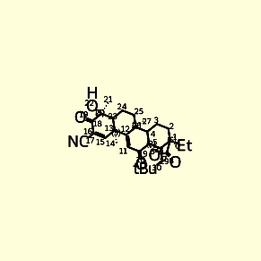 CC[C@@]12CCC3[C@](OC1=O)(C(=O)C=C1[C@@]4(C)C=C(C#N)C(=O)[C@@](C)(O)C4CC[C@]13C)C2CC(C)(C)C